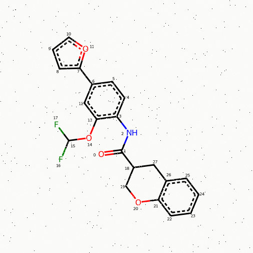 O=C(Nc1ccc(-c2ccco2)cc1OC(F)F)C1COc2ccccc2C1